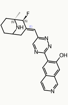 C[C@]12CCCC(C/C(=C\c3cnc(-c4cc5ccncc5cc4O)nn3)[C@@H]1F)N2